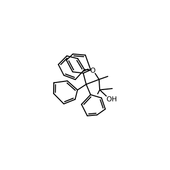 CC(C)(O)C(C)(Oc1ccccc1)C(c1ccccc1)(c1ccccc1)c1ccccc1